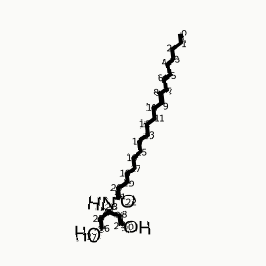 CCCCCCCCC=CCCCCCCCCCCCC(=O)NC(CCO)CCO